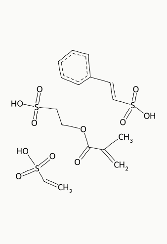 C=C(C)C(=O)OCCS(=O)(=O)O.C=CS(=O)(=O)O.O=S(=O)(O)C=Cc1ccccc1